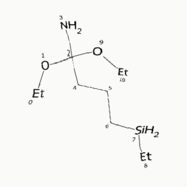 CCOC(N)(CCC[SiH2]CC)OCC